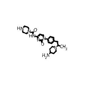 CC(Cc1ccc(-n2ccc(NC(=O)N3CCNCC3)nc2=O)cc1)N1CCC(N)CC1